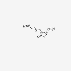 CC(=O)NCCSC[C@@H]1C(=O)CC[C@H]1C(=O)O